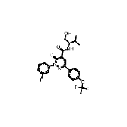 CC(C)C(CO)NC(=O)c1cc(-c2ccc(OC(F)(F)F)cc2)nn(-c2cccc(F)c2)c1=O